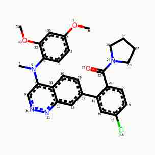 COc1ccc(N(C)c2cnnc3cc(-c4cc(Cl)ccc4C(=O)N4CCCC4)ccc23)c(OC)c1